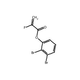 C=C(F)C(=O)Oc1cccc(Br)c1Br